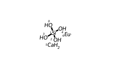 O[Si](O)(O)O.[CaH2].[Eu]